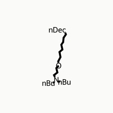 CCCCCCCCCCCCCCCCCCOCCCN(CCCC)CCCC